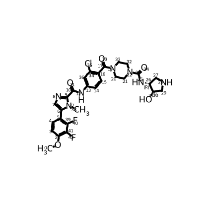 COc1ccc(-c2cnc(C(=O)Nc3ccc(C(=O)N4CCN(C(=O)N[C@@H]5CNC[C@H]5O)CC4)c(Cl)c3)n2C)c(F)c1F